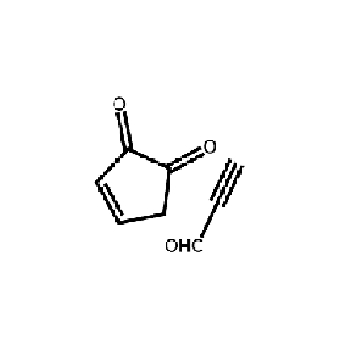 C#CC=O.O=C1C=CCC1=O